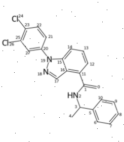 C=C(NC(C)c1ccccc1)c1cccc2c1cnn2-c1ccc(Cl)c(Cl)c1